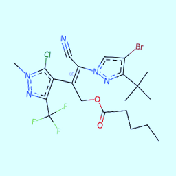 CCCCC(=O)OC/C(=C(/C#N)n1cc(Br)c(C(C)(C)C)n1)c1c(C(F)(F)F)nn(C)c1Cl